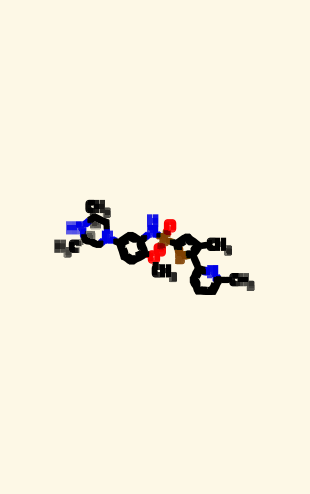 COc1ccc(N2C[C@@H](C)N[C@@H](C)C2)cc1NS(=O)(=O)c1cc(C)c(-c2cccc(C)n2)s1